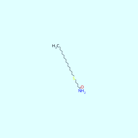 CCCCCCCCCCCCCCCCSCCCCC(N)=O